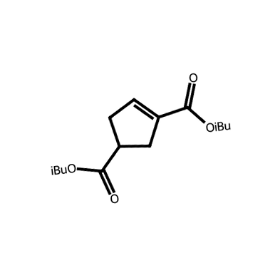 CC(C)COC(=O)C1=CCC(C(=O)OCC(C)C)C1